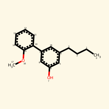 CCCCc1cc(O)cc(-c2ccccc2OC)c1